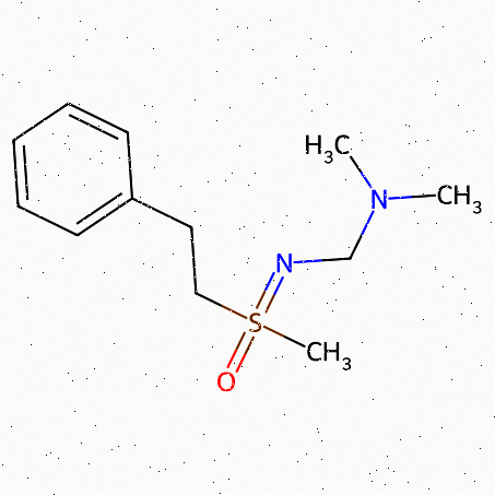 CN(C)CN=S(C)(=O)CCc1ccccc1